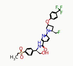 CCS(=O)(=O)c1ccc([C@H](CO)NC(=O)c2ccc(N3CC(Oc4ccc(C(F)(F)F)cc4)C[C@H]3CF)nc2)cc1